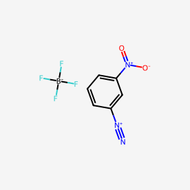 F[B-](F)(F)F.N#[N+]c1cccc([N+](=O)[O-])c1